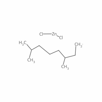 [CH2]CC(C)CCCC(C)C.[Cl][Zn][Cl]